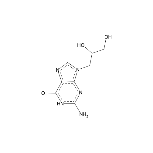 Nc1nc2c(ncn2CC(O)CO)c(=O)[nH]1